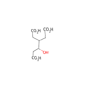 O=C(O)CC(O)C(CC(=O)O)CC(=O)O